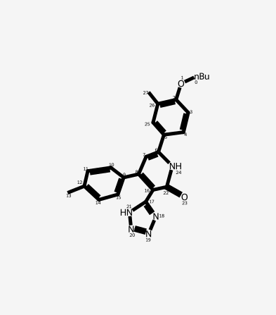 CCCCOc1ccc(-c2cc(-c3ccc(C)cc3)c(-c3nnn[nH]3)c(=O)[nH]2)cc1C